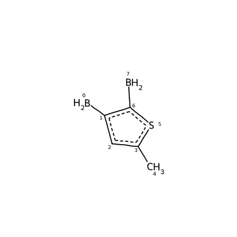 Bc1cc(C)sc1B